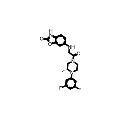 C[C@@H]1CN(C(=O)CNc2ccc3[nH]c(=O)oc3c2)CCN1c1cc(F)cc(F)c1